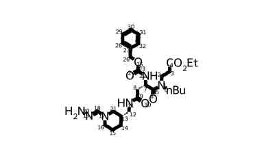 CCCCN(CCC(=O)OCC)C(=O)[C@H](CC(=O)NC[C@@H]1CCCN(C=NN)C1)NC(=O)OCc1ccccc1